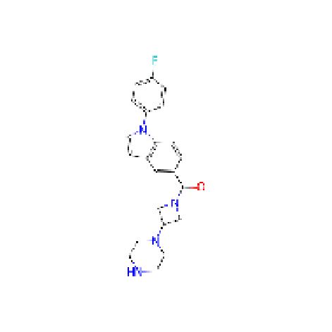 O=C(c1ccc2c(ccn2-c2ccc(F)cc2)c1)N1CC(N2CCNCC2)C1